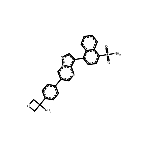 NC1(c2ccc(-c3cnc4c(-c5ccc(S(N)(=O)=O)c6ccccc56)cnn4c3)cc2)COC1